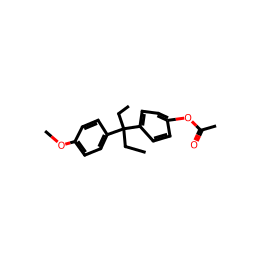 CCC(CC)(c1ccc(OC)cc1)c1ccc(OC(C)=O)cc1